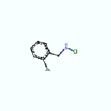 CC(=O)c1ccccc1CNCl